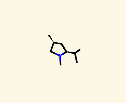 CC(C)[C@@H]1C[C@@H](C)CN1C